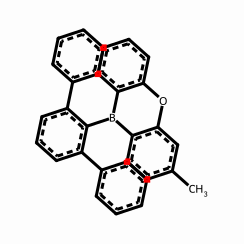 Cc1ccc2c(c1)Oc1ccccc1B2c1c(-c2ccccc2)cccc1-c1ccccc1